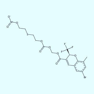 Cc1cc(Br)cc2c1O[C@H](C(F)(F)F)C(C(=O)OCOC(=O)OCCSCCO[N+](=O)[O-])=C2